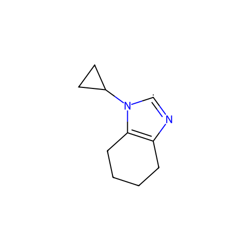 [c]1nc2c(n1C1CC1)CCCC2